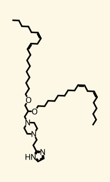 CCCCC/C=C\C/C=C\CCCCCCCCOCC(CN1CCN(CCc2ncc[nH]2)CC1)OCCCCCCCC/C=C\C/C=C\CCCCC